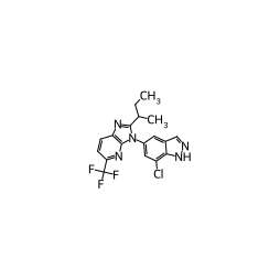 CCC(C)c1nc2ccc(C(F)(F)F)nc2n1-c1cc(Cl)c2[nH]ncc2c1